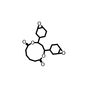 O=C1CCCCC(=O)OC(C2CCC3OC3C2)CC(C2CCC3OC3C2)O1